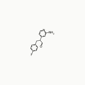 Nc1cc(C(C=O)Cc2ccc(F)cc2)ccn1